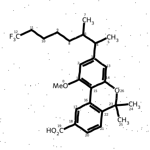 COc1cc(C(C)C(C)CCCCC(F)(F)F)cc2c1-c1cc(C(=O)O)ccc1C(C)(C)O2